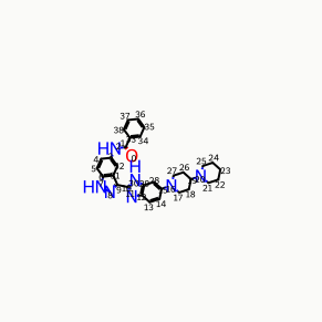 O=C(Nc1ccc2[nH]nc(-c3nc4ccc(N5CCC(N6CCCCC6)CC5)cc4[nH]3)c2c1)c1ccccc1